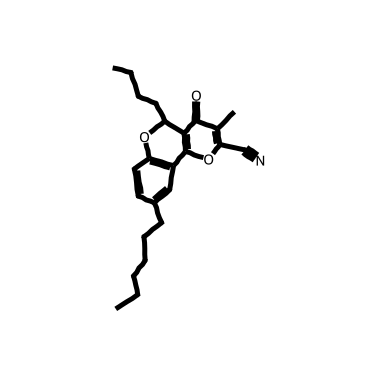 CCCCCCc1ccc2c(c1)-c1oc(C#N)c(C)c(=O)c1C(CCCC)O2